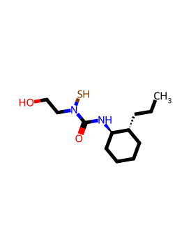 CCC[C@@H]1CCCC[C@H]1NC(=O)N(S)CCO